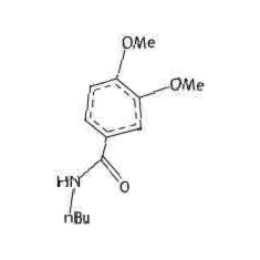 [CH2]CCCNC(=O)c1ccc(OC)c(OC)c1